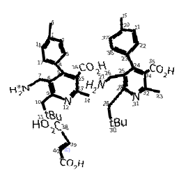 Cc1ccc(-c2c(CN)c(CC(C)(C)C)nc(C)c2C(=O)O)cc1.Cc1ccc(-c2c(CN)c(CC(C)(C)C)nc(C)c2C(=O)O)cc1.O=C(O)/C=C/C(=O)O